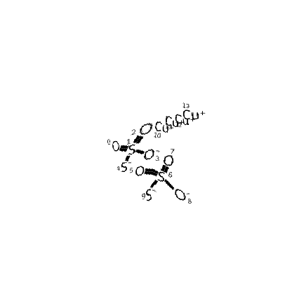 O=S(=O)([O-])[S-].O=S(=O)([O-])[S-].[Cu+].[Cu+].[Cu+].[Cu+]